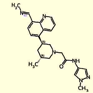 C/N=C/c1ccc([C@@H]2C[C@@H](C)CN(CC(=O)Nc3cnn(C)c3)C2)c2cccnc12